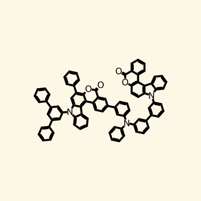 O=c1oc2ccc3c(c4ccccc4n3-c3cccc(-c4cccc(N(c5ccccc5)c5cccc(-c6ccc7c(c6)c(=O)oc6c(-c8ccccc8)cc8c(c9ccccc9n8-c8cc(-c9ccccc9)cc(-c9ccccc9)c8)c67)c5)c4)c3)c2c2ccccc12